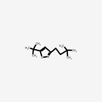 CC(C)(C)CCc1cc(C(C)(C)C)on1